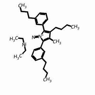 CCCCC1=C(c2cccc(CCCC)c2)[N+](=[N-])C(c2cccc(CCCC)c2)=C1C.C[CH2][Ni][CH2]C